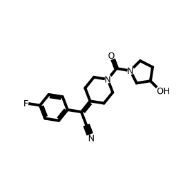 N#CC(=C1CCN(C(=O)N2CCC(O)C2)CC1)c1ccc(F)cc1